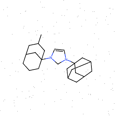 CC1CC2CCCC(N3C=CN(C45CC6CC(CC(C6)C4)C5)C3)(C1)C2